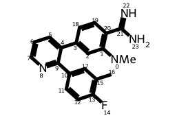 CNc1cc(-c2cccnc2-c2ccc(F)c(C)c2)ccc1C(=N)N